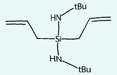 C=CC[Si](CC=C)(NC(C)(C)C)NC(C)(C)C